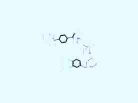 NC(=O)c1ccc(-c2csc(SCC(=O)NC[C@H]3CN(Cc4ccc(Cl)c(Cl)c4)CCO3)n2)cc1